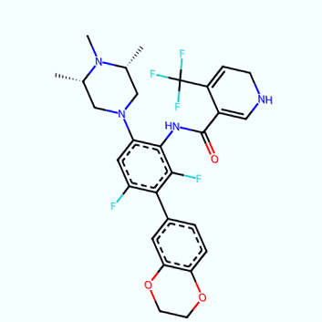 C[C@@H]1CN(c2cc(F)c(-c3ccc4c(c3)OCCO4)c(F)c2NC(=O)C2=CNCC=C2C(F)(F)F)C[C@H](C)N1C